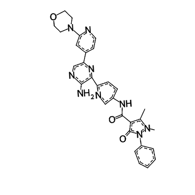 Cc1c(C(=O)Nc2ccc(-c3nc(-c4ccnc(N5CCOCC5)c4)cnc3N)nc2)c(=O)n(-c2ccccc2)n1C